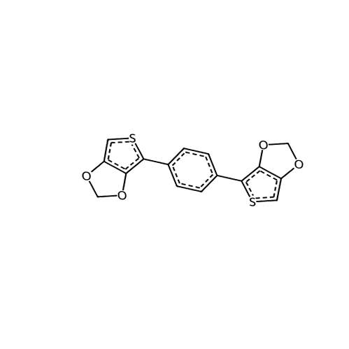 c1cc(-c2scc3c2OCO3)ccc1-c1scc2c1OCO2